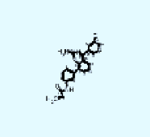 C=CC(=O)Nc1cccc(-c2cccc3c(-c4cncc(Cl)c4)nc(N)nc23)c1